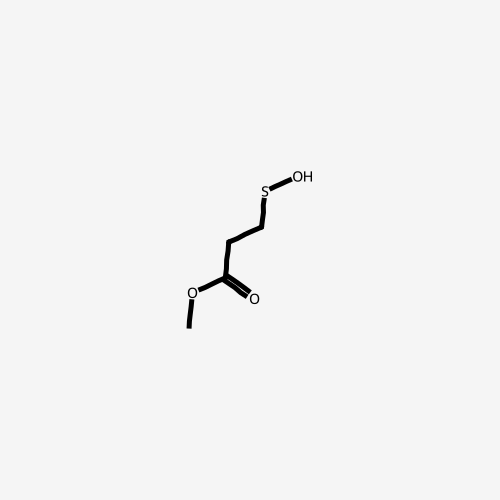 COC(=O)CCSO